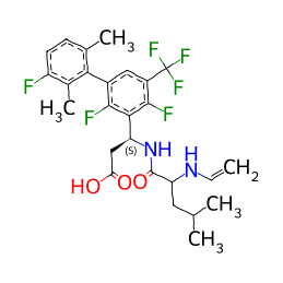 C=CNC(CC(C)C)C(=O)N[C@@H](CC(=O)O)c1c(F)c(-c2c(C)ccc(F)c2C)cc(C(F)(F)F)c1F